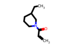 C=CC(=O)N1CCCC(CC)C1